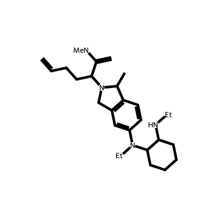 C=CCCC(C(=C)NC)N1Cc2cc(N(CC)C3CCCCC3NCC)ccc2C1C